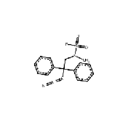 CN(CC(N=[N+]=[N-])(c1ccccc1)c1ccccc1)S(=O)(=O)F